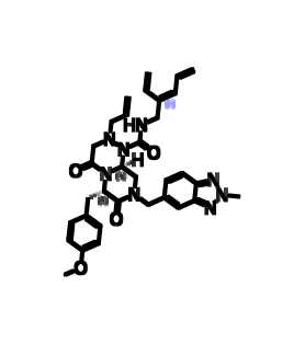 C=C/C=C(\C=C)CNC(=O)N1[C@H]2CN(Cc3ccc4nn(C)nc4c3)C(=O)[C@H](Cc3ccc(OC)cc3)N2C(=O)CN1CC=C